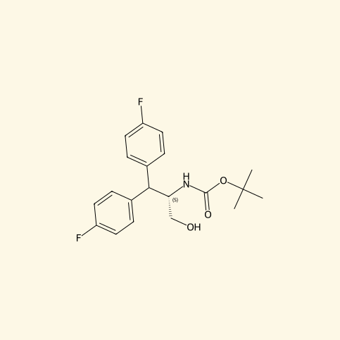 CC(C)(C)OC(=O)N[C@H](CO)C(c1ccc(F)cc1)c1ccc(F)cc1